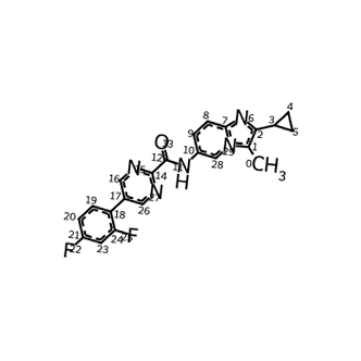 Cc1c(C2CC2)nc2ccc(NC(=O)c3ncc(-c4ccc(F)cc4F)cn3)cn12